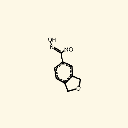 O=NC(=NO)c1ccc2c(c1)COC2